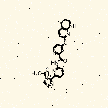 CC(C)n1cnnc1-c1cccc(NC(=O)c2cc(Oc3ccc4c(n3)NCCC4)ccn2)n1